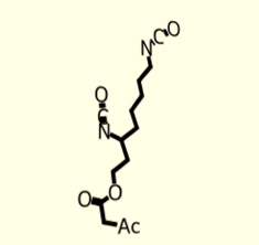 CC(=O)CC(=O)OCCC(CCCCCN=C=O)N=C=O